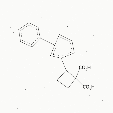 O=C(O)C1(C(=O)O)CCC1c1cccc(-c2ccccc2)c1